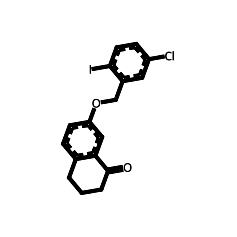 O=C1CCCc2ccc(OCc3cc(Cl)ccc3I)cc21